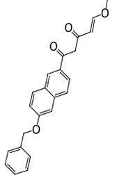 COC=CC(=O)CC(=O)c1ccc2cc(OCc3ccccc3)ccc2c1